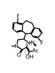 C=NN1/C(=C(/O)C(C)=O)C(=O)N(C)CC1C1c2cc(F)ccc2CCc2c(F)cccc21